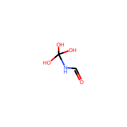 O=CNC(O)(O)O